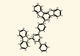 c1ccc(-c2nc(-c3ccc(-c4nc5c6ccccc6oc5c5c4oc4ccccc45)cc3)nc(-n3c4ccccc4c4ccccc43)n2)cc1